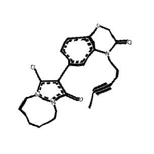 CC#CCN1C(=O)COc2ccc(-c3c(Cl)n4n(c3=O)CCCCC4)cc21